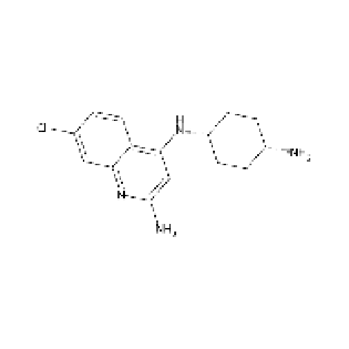 Nc1cc(N[C@H]2CC[C@@H](N)CC2)c2ccc(Cl)cc2n1